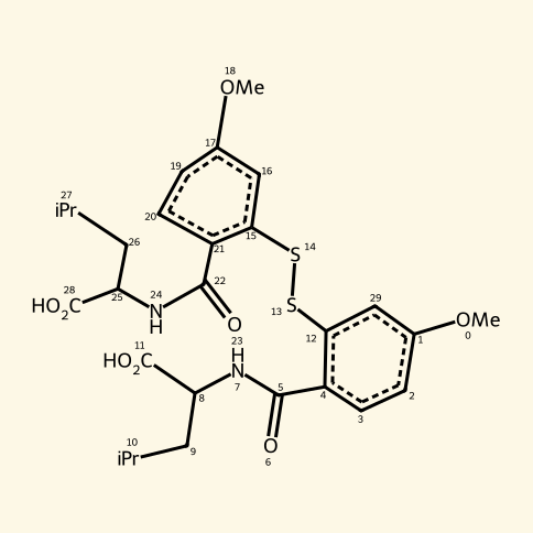 COc1ccc(C(=O)NC(CC(C)C)C(=O)O)c(SSc2cc(OC)ccc2C(=O)NC(CC(C)C)C(=O)O)c1